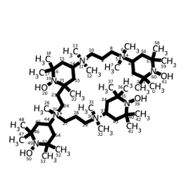 CC1(C)CC([N+](C)(C)CCC[N+](C)(C)C2CC(C)(C)N(O)C(C)(CC[N+](C)(CCC[N+](C)(C)C3CC(C)(C)N(O)C(C)(C)C3)C3CC(C)(C)N(O)C(C)(C)C3)C2)CC(C)(C)N1O